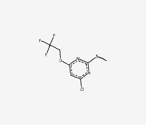 CSc1nc(Cl)cc(OCC(F)(F)F)n1